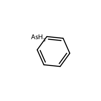 [AsH3].c1ccccc1